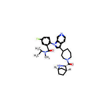 CC(C)N(C)C(=O)c1cc(F)ccc1-n1cc(C2CCCN(C(=O)[C@H]3N[C@@H]4CC[C@H]3C4)CC2)c2ccncc21